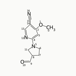 COc1cc(N2CCC(C=O)C2)ncc1C#N